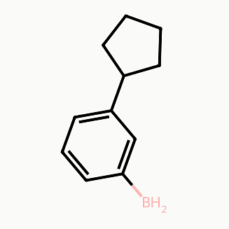 Bc1cccc(C2CCCC2)c1